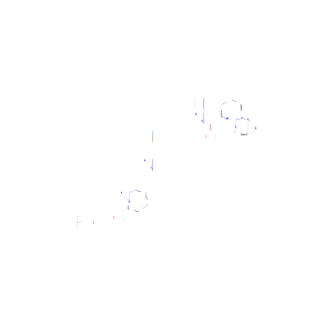 Cc1cn2c(C(=O)N[C@H]3CC[C@](F)(CCN4CCc5ccc(OCC(F)(F)F)nc5CC4)CC3)cccc2n1